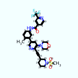 Cc1ccc(NC(=O)c2ccnc(C(F)(F)F)c2)cc1-c1cnc(C#CC2CCCN(S(C)(=O)=O)C2)c(N2CCOCC2)c1